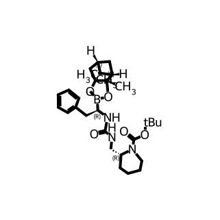 CC(C)(C)OC(=O)N1CCCC[C@@H]1CNC(=O)N[C@@H](Cc1ccccc1)B1OC2C[C@@H]3C[C@@H](C3(C)C)[C@]2(C)O1